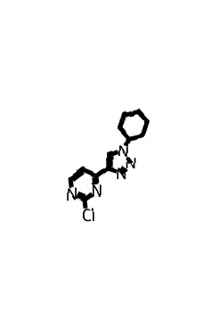 Clc1nccc(-c2cn(C3CCCCC3)nn2)n1